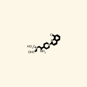 NC(CN(CC=O)C(=O)O)C1CCN(c2ccc3cccc(Cl)c3n2)CC1